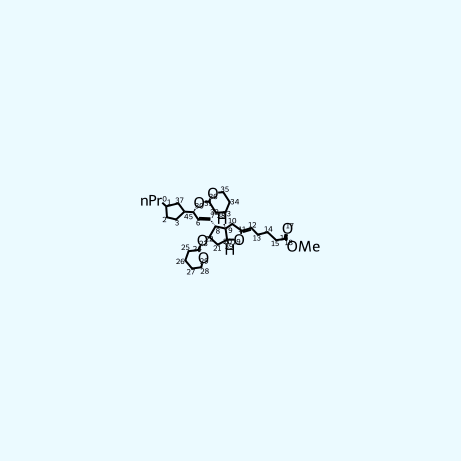 CCCC1CCC([C@@H](/C=C/[C@@H]2[C@H]3C/C(=C/CCCC(=O)OC)O[C@@H]3C[C@H]2OC2CCCCO2)OC2CCCCO2)C1